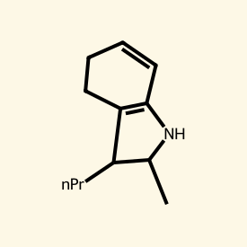 CCCC1C2=C(C=CCC2)NC1C